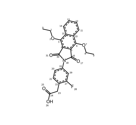 CCOc1c2c(c(OCC)c3ccccc13)C(=O)N(c1ccc(CC(=O)O)c(F)c1)C2=O